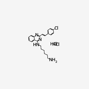 Cl.Cl.NCCCCCCNc1nc(C=Cc2ccc(Cl)cc2)nc2ccccc12